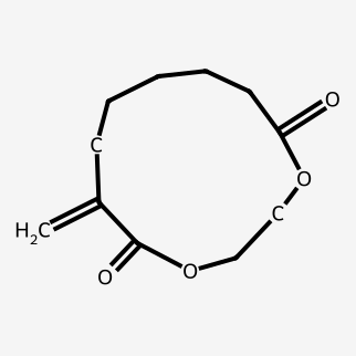 C=C1CCCCCC(=O)OCCOC1=O